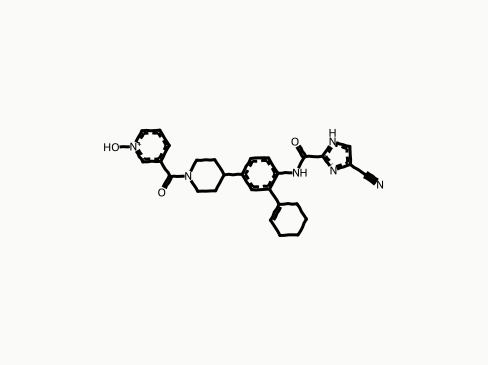 N#Cc1c[nH]c(C(=O)Nc2ccc(C3CCN(C(=O)c4ccc[n+](O)c4)CC3)cc2C2=CCCCC2)n1